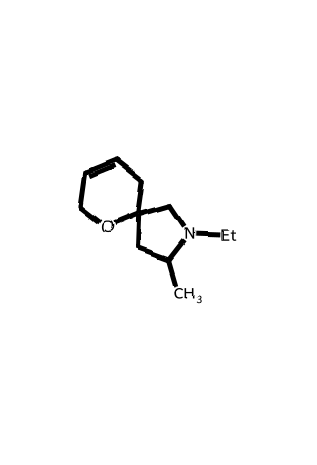 CCN1CC2(CC=CCO2)CC1C